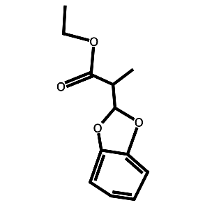 CCOC(=O)C(C)C1Oc2ccccc2O1